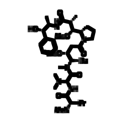 CC[C@H](C)[C@@H]([C@@H](CC(=O)N1CCC[C@H]1[C@H](OC)[C@@H](C)C(=O)N[C@H](C)[C@@H](O)c1ccccc1)OC)N(C)C(=O)[C@@H](NC(=O)[C@@H](NC)C(C)C)N(C)C